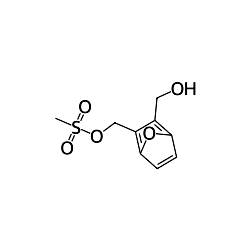 CS(=O)(=O)OCc1c(CO)c2ccc1o2